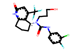 O=C(Nc1ccc(F)c(Cl)c1)N(CCCO)[C@@H]1CCCc2[nH]c(=O)cc(C(F)(F)F)c21